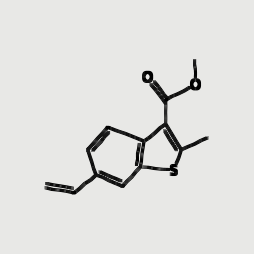 C=Cc1ccc2c(C(=O)OC)c(C)sc2c1